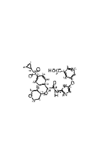 O=C(O)c1cncc(Oc2cnc(NC(=O)C(OC3CCOCC3)c3ccc(S(=O)(=O)C4CC4)cc3)s2)c1